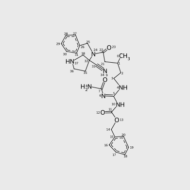 CC(CCNC(=NC(N)=O)NC(=O)OCc1ccccc1)CC(=O)N(Cc1ccccc1)C1(C#N)CCNC1